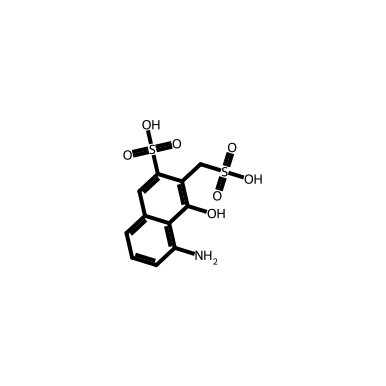 Nc1cccc2cc(S(=O)(=O)O)c(CS(=O)(=O)O)c(O)c12